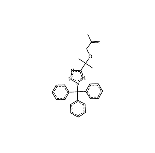 C=C(C)COC(C)(C)c1nnn(C(c2ccccc2)(c2ccccc2)c2ccccc2)n1